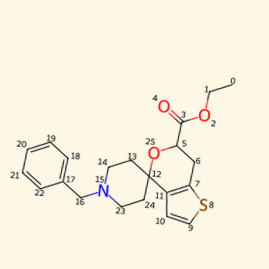 CCOC(=O)C1Cc2sccc2C2(CCN(Cc3ccccc3)CC2)O1